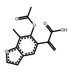 C=C(C(=O)O)c1cc2ccoc2c(C)c1OC(C)=O